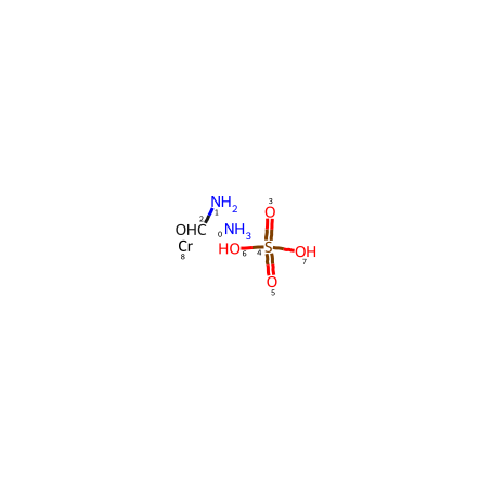 N.NC=O.O=S(=O)(O)O.[Cr]